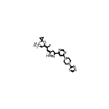 C=C/C(OC1(C)CC1)=C(F)\C=C1/CC(c2cc(N3CCN(c4nncs4)CC3)ncn2)=NN1